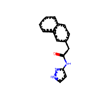 O=C(Cc1ccc2ccccc2c1)Nc1cc[nH]n1